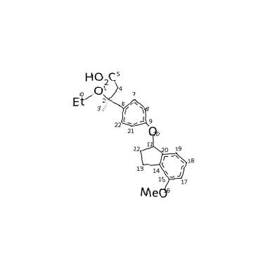 CCO[C@@](C)(CC(=O)O)c1ccc(OC2CCc3c(OC)cccc32)cc1